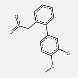 COc1ccc(-c2[c]cccc2C[SH](=O)=O)cc1Cl